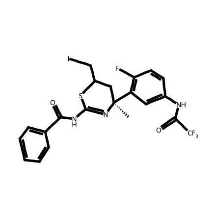 C[C@@]1(c2cc(NC(=O)C(F)(F)F)ccc2F)CC(CI)SC(NC(=O)c2ccccc2)=N1